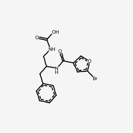 O=C(O)NCC(Cc1ccccc1)NC(=O)c1coc(Br)c1